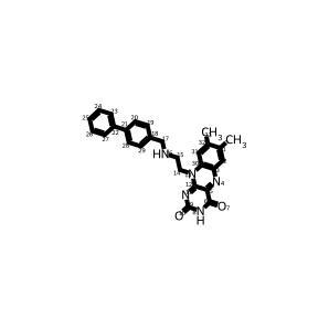 Cc1cc2nc3c(=O)[nH]c(=O)nc-3n(CCNCc3ccc(-c4ccccc4)cc3)c2cc1C